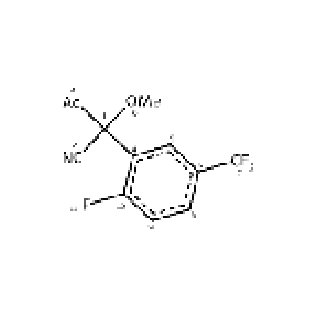 COC(C#N)(C(C)=O)c1cc(C(F)(F)F)ccc1F